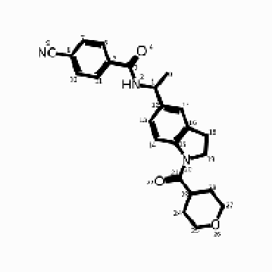 CC(NC(=O)c1ccc(C#N)cc1)c1ccc2c(c1)CCN2C(=O)C1CCOCC1